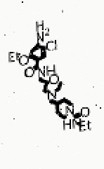 CCNC(=O)N1CCC(CN2CCOC(CNC(=O)c3cc(Cl)c(N)cc3OCC)C2)CC1